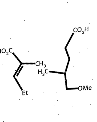 CCC=C(C)C(=O)O.COCC(C)CCC(=O)O